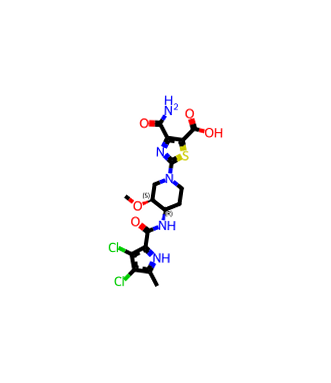 CO[C@H]1CN(c2nc(C(N)=O)c(C(=O)O)s2)CC[C@H]1NC(=O)c1[nH]c(C)c(Cl)c1Cl